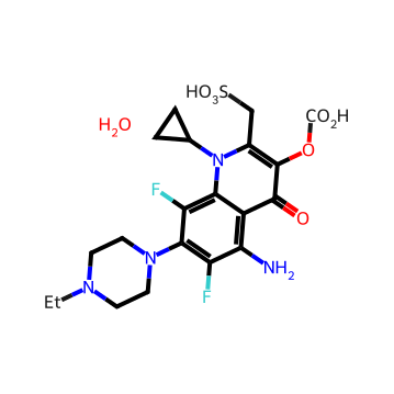 CCN1CCN(c2c(F)c(N)c3c(=O)c(OC(=O)O)c(CS(=O)(=O)O)n(C4CC4)c3c2F)CC1.O